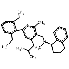 CCc1cccc(CC)c1-c1cc(CC(C)C)c(CN(C)[C@@H]2CCCc3ccccc32)c(C)n1